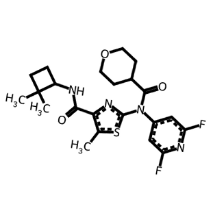 Cc1sc(N(C(=O)C2CCOCC2)c2cc(F)nc(F)c2)nc1C(=O)NC1CCC1(C)C